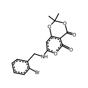 CC1(C)OC(=O)c2c(cc(NCc3ccccc3Br)oc2=O)O1